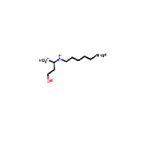 CCCCCCCCCCCCNC(CCO)C(=O)O